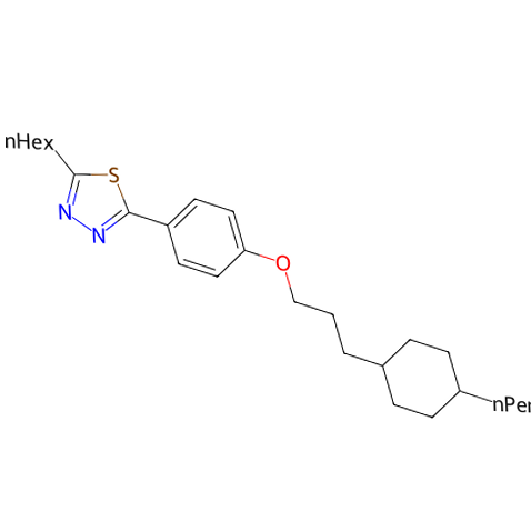 CCCCCCc1nnc(-c2ccc(OCCCC3CCC(CCCCC)CC3)cc2)s1